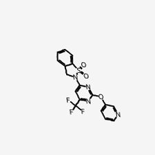 O=S1(=O)c2ccccc2CN1c1cc(C(F)(F)F)nc(Oc2cccnc2)n1